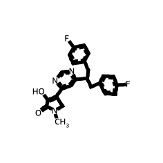 CN1CC(c2cc(C(Cc3ccc(F)cc3)Cc3ccc(F)cc3)ncn2)=C(O)C1=O